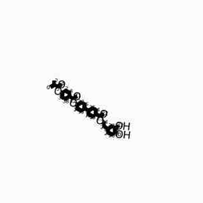 C=C(C)C(=O)Oc1ccc(C(=O)Oc2ccc(-c3ccc(C(=O)OCCc4ccc(O)c(O)c4)cc3)cc2)cc1